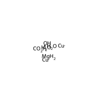 O.O.O=C(O)O.[Cu].[Cu].[MgH2]